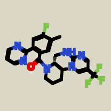 Cc1cc(C(=O)N2CCCC(C)[C@H]2CNc2ncc(C(F)(F)F)cn2)c(-c2ncccn2)cc1F